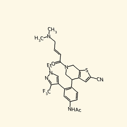 CCn1cc(-c2cc(NC(C)=O)ccc2C2CN(C(=O)/C=C/CN(C)C)Cc3sc(C#N)cc32)c(C(F)(F)F)n1